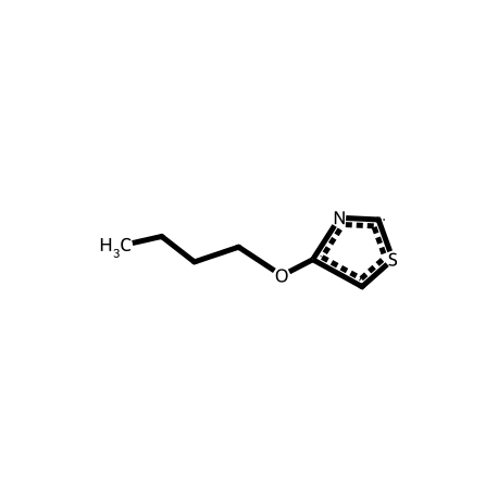 CCCCOc1cs[c]n1